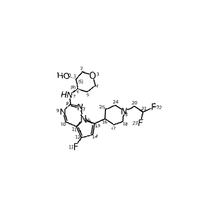 O[C@@H]1COCC[C@H]1Nc1ncc2c(F)cc(C3CCN(CC(F)F)CC3)n2n1